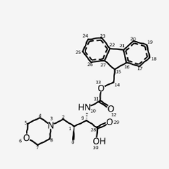 C[C@@H](CN1CCOCC1)[C@H](NC(=O)OCC1c2ccccc2-c2ccccc21)C(=O)O